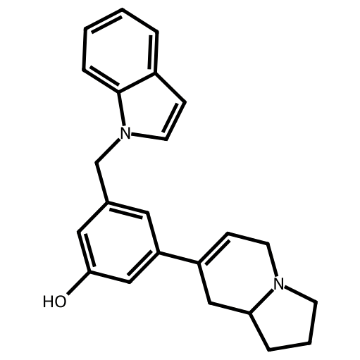 Oc1cc(Cn2ccc3ccccc32)cc(C2=CCN3CCCC3C2)c1